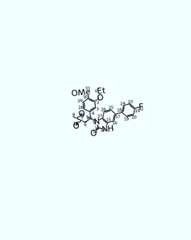 CCOc1cc([C@H](CS(C)(=O)=O)n2c(=O)[nH]c3cc(-c4ccc(F)cc4)ccc32)ccc1OC